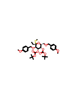 CC[C@@]1(SC)O[C@H](COCc2ccc(OC)cc2)[C@H](OC(=O)OC(C)(C)C)[C@H](OC(=O)OC(C)(C)C)[C@H]1OCc1ccc(OC)cc1